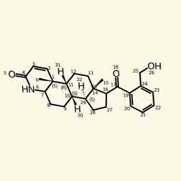 C[C@]12C=CC(=O)NC1CC[C@@H]1[C@H]2CC[C@]2(C)C(C(=O)c3ccccc3CO)CC[C@@H]12